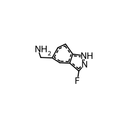 NCc1ccc2[nH]nc(F)c2c1